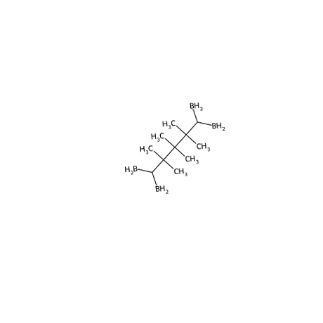 BC(B)C(C)(C)C(C)(C)C(C)(C)C(B)B